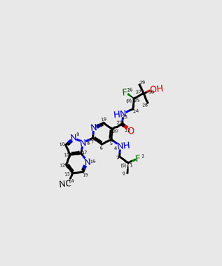 C[C@H](F)CNc1cc(-n2ncc3cc(C#N)cnc32)ncc1C(=O)NC[C@@H](F)C(C)(C)O